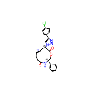 O=C1CC/C=C/C[C@@H](n2cc(-c3ccc(Cl)cc3)nn2)C(=O)OC[C@@H](c2ccccc2)N1